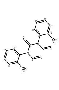 C=CC(C(=O)C(C=C)c1ccccc1O)c1ccccc1O